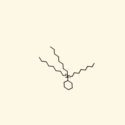 CCCCCCC[CH2][Sn]([CH2]CCCCCCC)([CH2]CCCCCCC)[CH]1CCCCC1